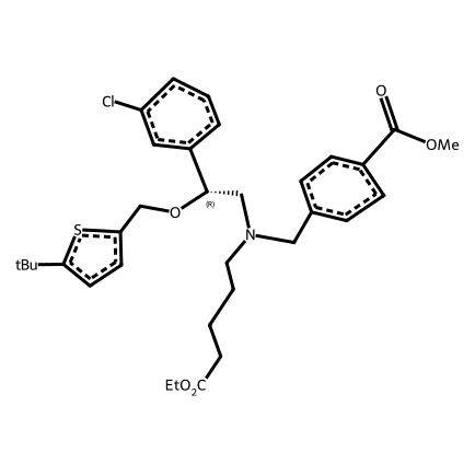 CCOC(=O)CCCCN(Cc1ccc(C(=O)OC)cc1)C[C@H](OCc1ccc(C(C)(C)C)s1)c1cccc(Cl)c1